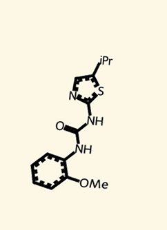 COc1ccccc1NC(=O)Nc1ncc(C(C)C)s1